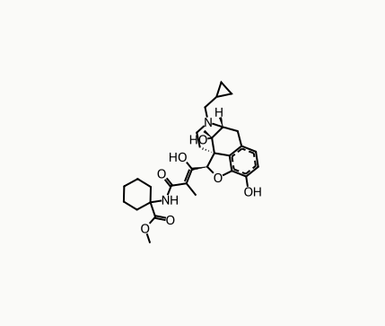 COC(=O)C1(NC(=O)/C(C)=C(\O)[C@@H]2Oc3c(O)ccc4c3[C@@]23CCN(CC2CC2)[C@H](C4)[C@@]3(C)O)CCCCC1